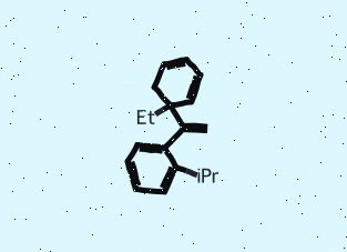 C=C(c1ccccc1C(C)C)C1(CC)C=CC=CC1